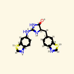 O=C1NC(Nc2ccc3ncsc3c2)=NC1Cc1ccc2ncsc2c1